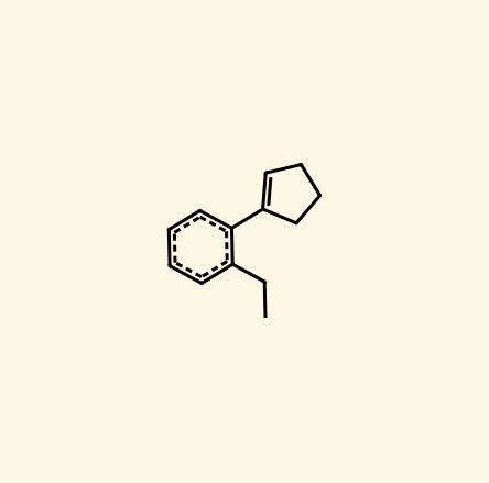 CCc1ccccc1C1=CCCC1